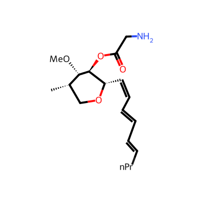 CCC/C=C/C=C/C=C\[C@@H]1OC[C@H](C)[C@H](OC)[C@H]1OC(=O)CN